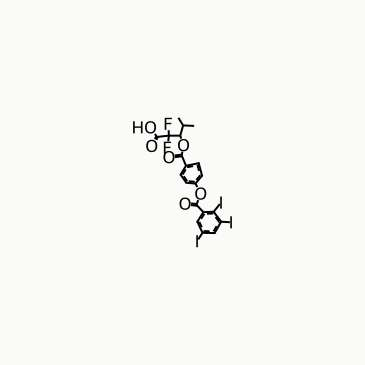 CC(C)C(OC(=O)c1ccc(OC(=O)c2cc(I)cc(I)c2I)cc1)C(F)(F)C(=O)O